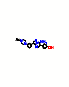 CC(=O)N1CCN(c2cccc(-c3cnn4c(N)c(-c5ccc(O)cc5)cnc34)c2)CC1